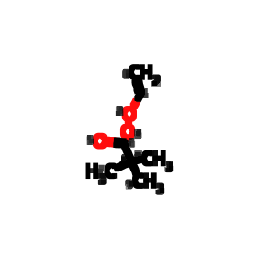 C=COOC(=O)C(C)(C)C